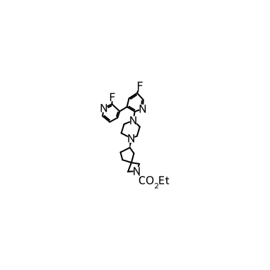 CCOC(=O)N1CC2(CC[C@@H](N3CCN(c4ncc(F)cc4-c4cccnc4F)CC3)C2)C1